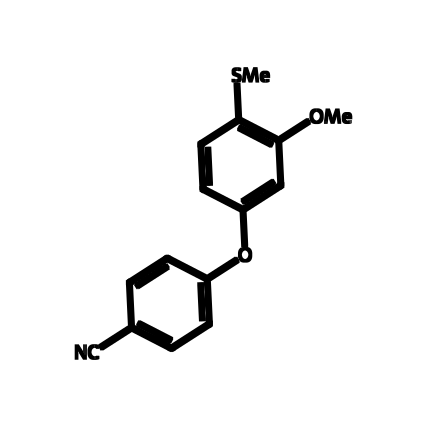 COc1cc(Oc2ccc(C#N)cc2)ccc1SC